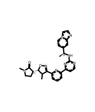 CC1C(c2cccc(-c3ccnc(N[C@@H](C)c4ccn5ccnc5c4)n3)n2)=NOC1[C@@H]1CCN(C)C1=O